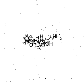 CCC[C@@H](NC(=O)N[C@@H](CCCCN)C(=O)O)C(=O)N[C@H]1C[C@H]2CC[C@]1(C)C2(C)C